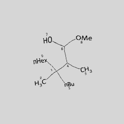 CCCCCCC(C)(CCCC)C(C)C(O)OC